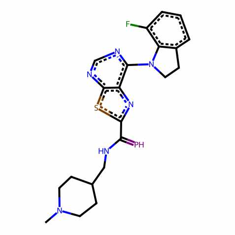 CN1CCC(CNC(=P)c2nc3c(N4CCc5cccc(F)c54)ncnc3s2)CC1